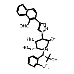 CC(C)(O)[C@@H](c1ccccc1C(F)(F)F)[SH]1C[C@H](O)[C@H](n2cc(-c3ccc4ccccc4c3C=O)nn2)[C@@H](O)[C@H]1CO